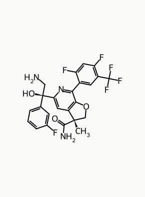 C[C@]1(C(N)=O)COc2c1cc([C@@](O)(CN)c1cccc(F)c1)nc2-c1cc(C(F)(F)F)c(F)cc1F